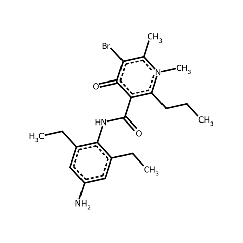 CCCc1c(C(=O)Nc2c(CC)cc(N)cc2CC)c(=O)c(Br)c(C)n1C